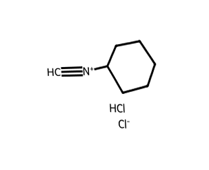 C#[N+]C1CCCCC1.Cl.[Cl-]